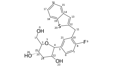 OCC1OC(c2ccc(F)c(Cc3cc4ccccc4s3)c2)C(O)C[C@@H]1O